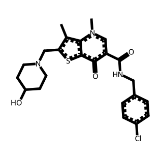 Cc1c(CN2CCC(O)CC2)sc2c(=O)c(C(=O)NCc3ccc(Cl)cc3)cn(C)c12